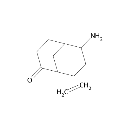 C=C.NC1CCC2CC1CCC2=O